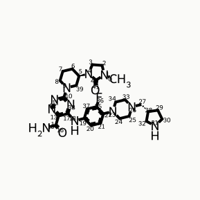 CN1CCN([C@@H]2CCCN(c3nnc(C(N)=O)c(Nc4ccc(N5CCN(C[C@@H]6CCNC6)CC5)c(F)c4)n3)C2)C1=O